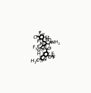 CCOc1c(CC(N)=O)cc([C@@](O)(CNC(=O)c2cc(OC(F)F)c3ncc(C)cc3c2)C(F)(F)F)nc1-c1ccc(F)c(Cl)c1F